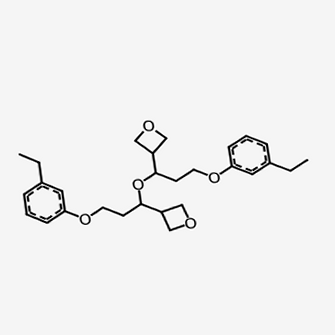 CCc1cccc(OCCC(OC(CCOc2cccc(CC)c2)C2COC2)C2COC2)c1